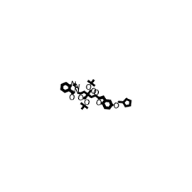 CC(C)(C)OC(=O)C(CCn1nnc2ccccc2c1=O)(CC(=O)c1cc2cc(OCC3CCCC3)ccc2o1)C(=O)OC(C)(C)C